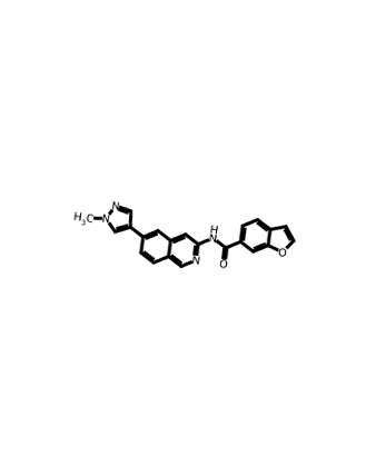 Cn1cc(-c2ccc3cnc(NC(=O)c4ccc5ccoc5c4)cc3c2)cn1